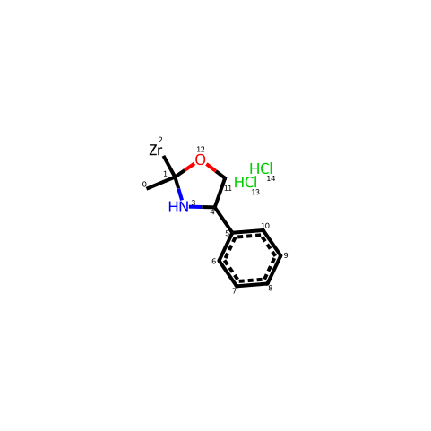 C[C]1([Zr])NC(c2ccccc2)CO1.Cl.Cl